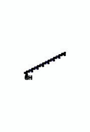 CC(C)=CCC/C(C)=C/CC/C(C)=C/CC/C(C)=C/CC/C(C)=C/CC/C(C)=C/CC/C(C)=C/CCC(C)CCO